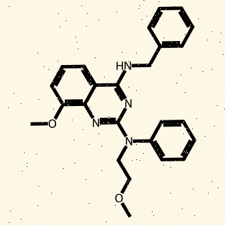 COCCN(c1ccccc1)c1nc(NCc2ccccc2)c2cccc(OC)c2n1